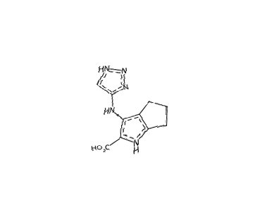 O=C(O)c1[nH]c2c(c1Nc1c[nH]nn1)CCC2